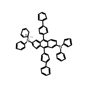 C[C@]1(N(c2ccccc2)c2ccc3c(-c4ccc(-c5ccccc5)cc4)c4cc(N(c5ccccc5)c5ccccc5)ccc4c(-c4ccc(-c5ccccc5)cc4)c3c2)C=CC=CC1